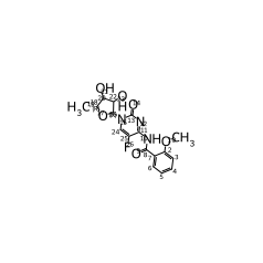 COc1ccccc1C(=O)Nc1nc(=O)n([C@@H]2O[C@H](C)C(O)C2O)cc1F